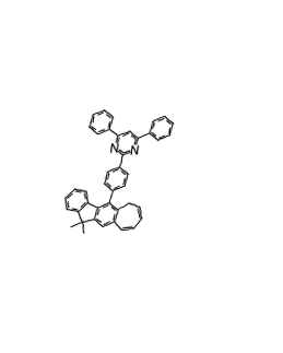 CC1(C)c2ccccc2-c2c1cc1c(c2-c2ccc(-c3nc(-c4ccccc4)cc(-c4ccccc4)n3)cc2)CC=CC=C1